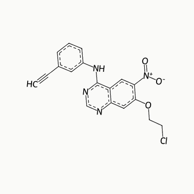 C#Cc1cccc(Nc2ncnc3cc(OCCCl)c([N+](=O)[O-])cc23)c1